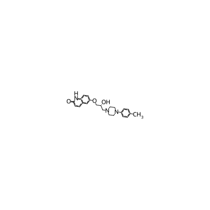 Cc1ccc(N2CCN(C[C@@H](O)COc3ccc4[nH]c(=O)ccc4c3)CC2)cc1